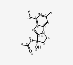 CSc1nc(C)cc2c1cc1n2CCC1(O)OC(C)=O